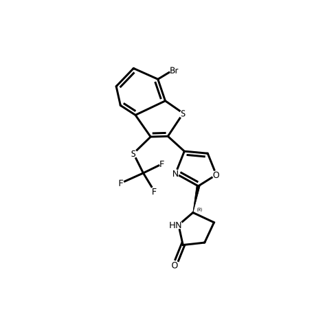 O=C1CC[C@H](c2nc(-c3sc4c(Br)cccc4c3SC(F)(F)F)co2)N1